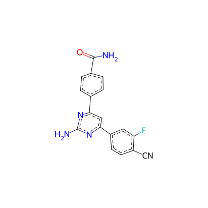 N#Cc1ccc(-c2cc(-c3ccc(C(N)=O)cc3)nc(N)n2)cc1F